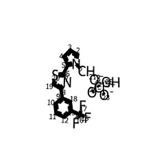 Cn1cccc1-c1nc(-c2cccc(C(F)(F)F)c2)cs1.[O-][Cl+3]([O-])([O-])O